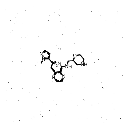 C=C(/C=c1/nccn/c1=C(/N)NC[C@@H]1CNCCO1)c1ccnn1C